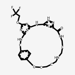 O=C1NCCCNCCCCOc2ccc(cc2)CNc2nc(nc(OCC(F)(F)F)n2)Nc2cc1n[nH]2